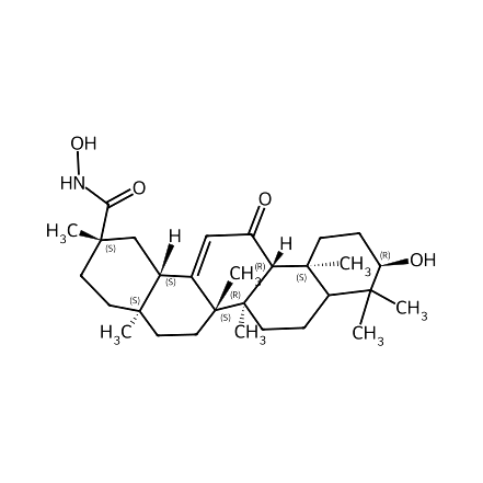 CC1(C)C2CC[C@]3(C)[C@H](C(=O)C=C4[C@H]5C[C@@](C)(C(=O)NO)CC[C@]5(C)CC[C@]43C)[C@@]2(C)CC[C@H]1O